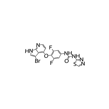 O=C(Nc1cc(F)c(Oc2ccnc3[nH]cc(Br)c23)c(F)c1)Nc1nncs1